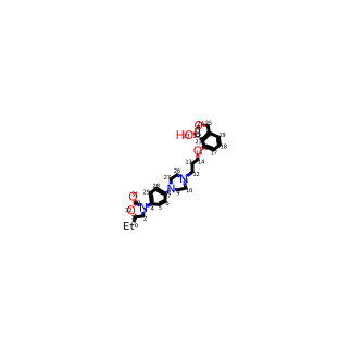 CCC1CN(c2ccc(N3CCN(CCCOc4cccc5c4B(O)OC5)CC3)cc2)C(=O)O1